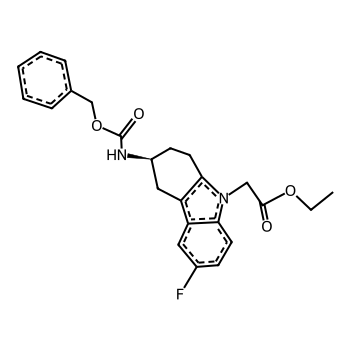 CCOC(=O)Cn1c2c(c3cc(F)ccc31)C[C@@H](NC(=O)OCc1ccccc1)CC2